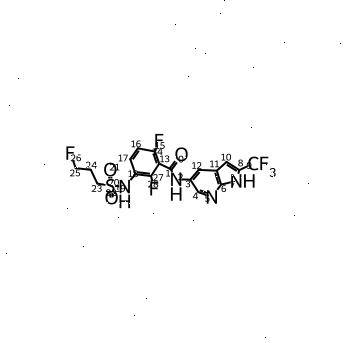 O=C(Nc1cnc2[nH]c(C(F)(F)F)cc2c1)c1c(F)ccc(NS(=O)(=O)CCCF)c1F